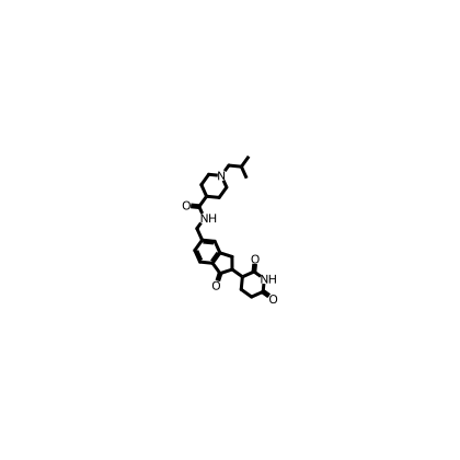 CC(C)CN1CCC(C(=O)NCc2ccc3c(c2)CC(C2CCC(=O)NC2=O)C3=O)CC1